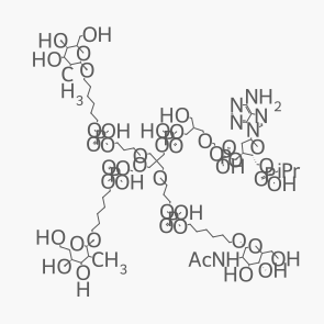 CC(=O)NC1[C@H](OCCCCCCOP(=O)(O)OCCCOCC(COCCCOP(=O)(O)OCCCCCCO[C@@H]2OC(CO)[C@H](O)[C@H](O)C2C)(COCOP(=O)(O)OCCCCCCO[C@@H]2OC(CO)[C@H](O)[C@H](O)C2C)COP(=O)(O)OCC(CO)COCOP(=O)(O)O[C@H]2C[C@H](n3cnc4c(N)ncnc43)O[C@@H]2COP(=O)(O)C(C)C)OC(CO)[C@H](O)[C@@H]1O